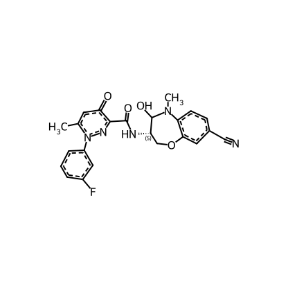 Cc1cc(=O)c(C(=O)N[C@H]2COc3cc(C#N)ccc3N(C)C2O)nn1-c1cccc(F)c1